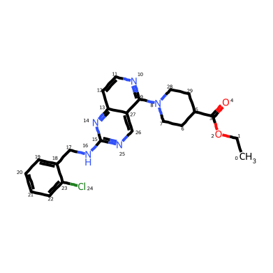 CCOC(=O)C1CCN(c2nccc3nc(NCc4ccccc4Cl)ncc23)CC1